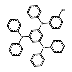 Oc1cccc(N(c2ccccc2)c2cc(N(c3ccccc3)c3ccccc3)cc(N(c3ccccc3)c3ccccc3)c2)c1